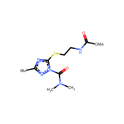 COC(=O)NCCSc1nc(C(C)(C)C)nn1C(=O)N(C)C